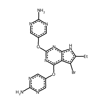 CCc1[nH]c2nc(Oc3cnc(N)nc3)nc(Oc3cnc(N)nc3)c2c1Br